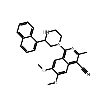 COc1cc2c(N3CCNC(c4cccc5ccccc45)C3)nc(C)c(C#N)c2cc1OC